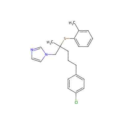 Cc1ccccc1SC(C)(CCCc1ccc(Cl)cc1)Cn1ccnc1